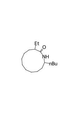 CCCCC1CCCCCCCCC(CC)C(=O)N1